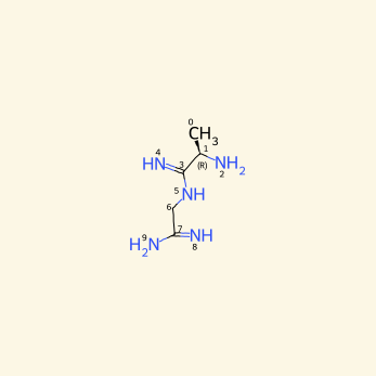 C[C@@H](N)C(=N)NCC(=N)N